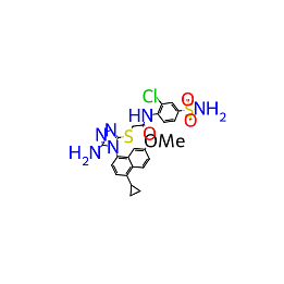 COc1ccc2c(C3CC3)ccc(-n3c(N)nnc3SCC(=O)Nc3ccc(S(N)(=O)=O)cc3Cl)c2c1